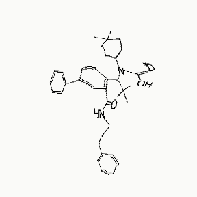 CC1(C)CCC(N(C(=O)O)C(c2ccc(-c3ccccc3)cc2C(=O)NCCc2ccccc2)C(C)(C)C)CC1